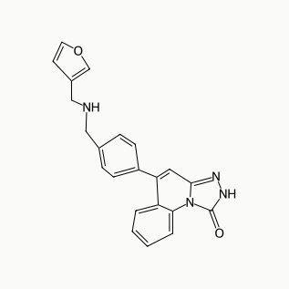 O=c1[nH]nc2cc(-c3ccc(CNCc4ccoc4)cc3)c3ccccc3n12